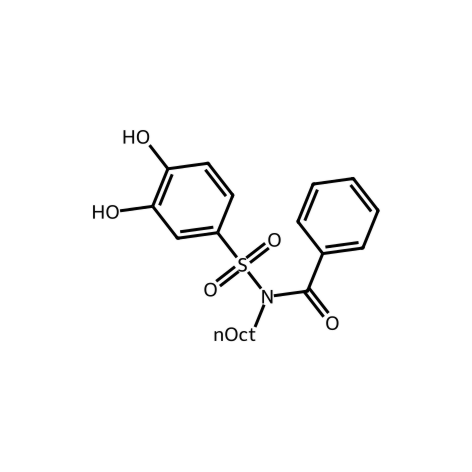 CCCCCCCCN(C(=O)c1ccccc1)S(=O)(=O)c1ccc(O)c(O)c1